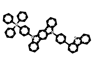 c1ccc([Si](c2ccccc2)(c2ccccc2)c2ccc(-n3c4ccccc4c4cc5c(cc43)c3ccccc3n5-c3ccc(-c4cccc5c4sc4ccccc45)cc3)cc2)cc1